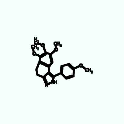 COc1ccc(-c2[nH]nc3c2-c2cc(OC)c(OC)c(OC)c2CC3)cc1